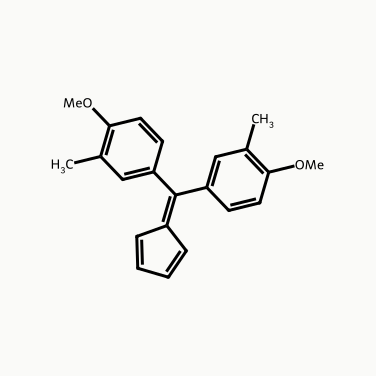 COc1ccc(C(=C2C=CC=C2)c2ccc(OC)c(C)c2)cc1C